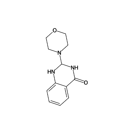 O=C1NC(N2CCOCC2)Nc2ccccc21